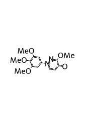 COc1cc(-n2ccc(=O)c(OC)n2)cc(OC)c1OC